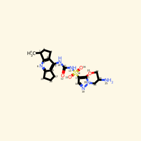 CC1CCc2c1nc1c(c2NC(=O)NS(=O)(=O)c2cnn3c2OCC(N)C3)CCC1